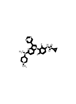 CN1CCC(N(C)c2ccc3c(n2)c(-c2cncnc2)cn3-c2c(F)ccc(NS(=O)(=O)C3CC3)c2F)CC1